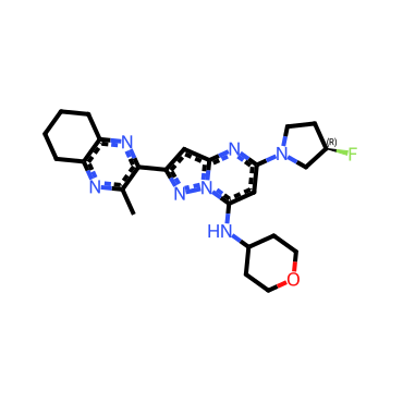 Cc1nc2c(nc1-c1cc3nc(N4CC[C@@H](F)C4)cc(NC4CCOCC4)n3n1)CCCC2